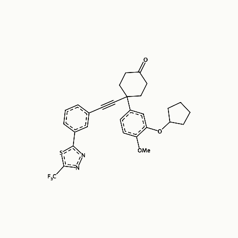 COc1ccc(C2(C#Cc3cccc(-c4nnc(C(F)(F)F)s4)c3)CCC(=O)CC2)cc1OC1CCCC1